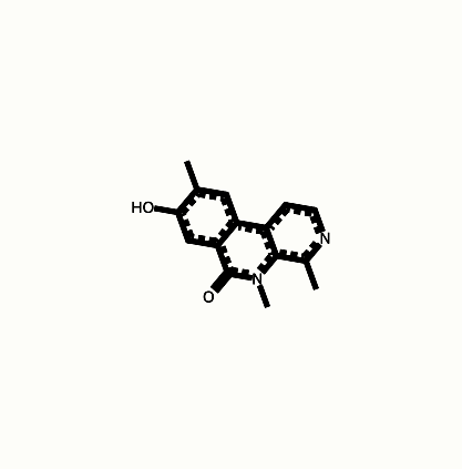 Cc1cc2c(cc1O)c(=O)n(C)c1c(C)nccc21